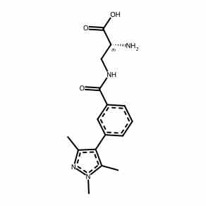 Cc1nn(C)c(C)c1-c1cccc(C(=O)NC[C@@H](N)C(=O)O)c1